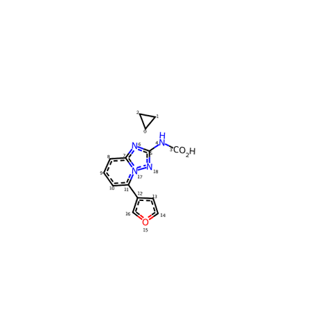 C1CC1.O=C(O)Nc1nc2cccc(-c3ccoc3)n2n1